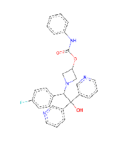 O=C(Nc1ccccc1)OC1CN(C(c2ccc(F)cc2)C(O)(c2cccnc2)c2cccnc2)C1